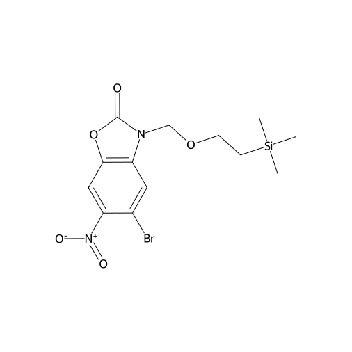 C[Si](C)(C)CCOCn1c(=O)oc2cc([N+](=O)[O-])c(Br)cc21